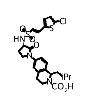 CC(C)CC1c2ccc(N3CC[C@H](NS(=O)(=O)C=Cc4ccc(Cl)s4)C3=O)cc2CCN1C(=O)O